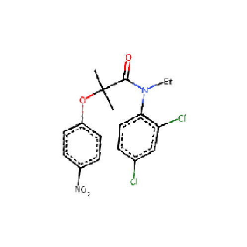 CCN(C(=O)C(C)(C)Oc1ccc([N+](=O)[O-])cc1)c1ccc(Cl)cc1Cl